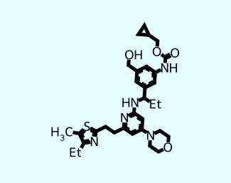 CCc1nc(CCc2cc(N3CCOCC3)cc(NC(CC)c3cc(CO)cc(NC(=O)OCC4CC4)c3)n2)sc1C